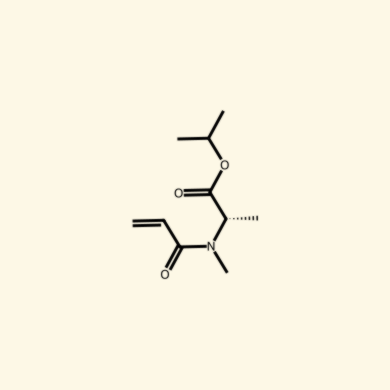 C=CC(=O)N(C)[C@@H](C)C(=O)OC(C)C